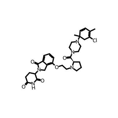 CC1=C(Cl)CC(C)(N2CCN(C(=O)[C@H]3CCCN3CCOc3cccc4c3CN(C3CCC(=O)NC3=O)C4=O)CC2)C=C1